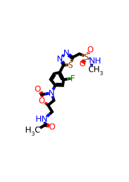 CNS(=O)(=O)Cc1nnc(-c2ccc(N3CC(CNC(C)=O)OC3=O)cc2F)s1